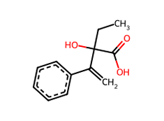 C=C(c1ccccc1)C(O)(CC)C(=O)O